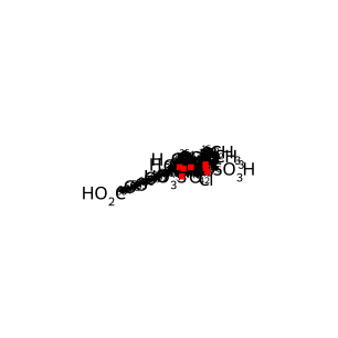 CC1(C)C=C(CS(=O)(=O)O)c2cc3c(c4c2N1CCC4)Oc1c(cc2c4c1CCCN4C(C)(C)C=C2CS(=O)(=O)O)C31c2c(Cl)ccc(Cl)c2C(=O)N1CCN1CCN(C(=O)CCOCCOCCOCCOCCC(=O)O)CC1